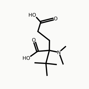 CN(C)C(CCC(=O)O)(C(=O)O)C(C)(C)C